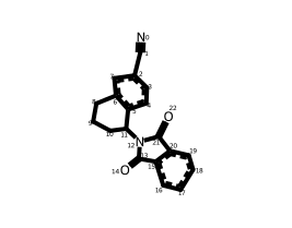 N#Cc1ccc2c(c1)CCCC2N1C(=O)c2ccccc2C1=O